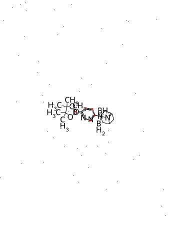 BC(B)(c1ccc(OC)nc1)N1C2CC1CN(c1ccc(B3OC(C)(C)C(C)(C)O3)cn1)C2